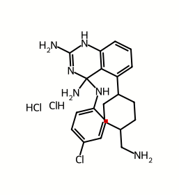 Cl.Cl.NCC1CCC(c2cccc3c2C(N)(Nc2ccc(Cl)cc2)N=C(N)N3)CC1